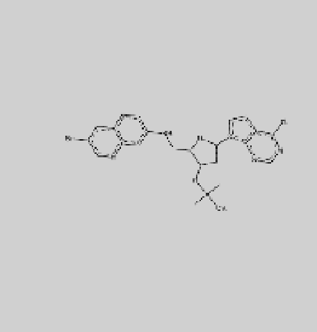 CC(C)(O)OC1CC(n2ccc3c(Cl)ncnc32)OC1CNc1ccc2cc(Br)cnc2c1